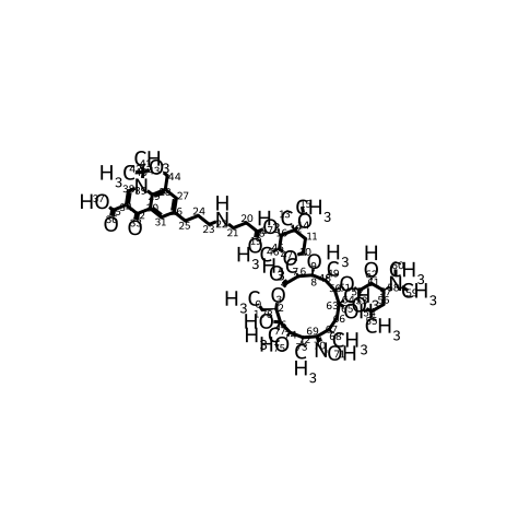 CC[C@H]1OC(=O)[C@H](C)[C@@H](O[C@H]2C[C@@](C)(OC)[C@@H](OC(=O)CCNCCCc3cc4c5c(c3)c(=O)c(C(=O)O)cn5C(C)(C)OC4)[C@H](C)O2)[C@H](C)[C@@H](O[C@@H]2O[C@H](C)C[C@H](N(C)C)[C@H]2O)[C@](C)(O)C[C@@H](C)/C(=N\O)[C@H](C)[C@@H](O)[C@]1(C)O